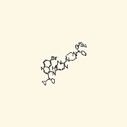 CC(C)(C)OC(=O)N1CCN(c2ncc(Nc3c(C(=O)C4CC4)cnc4ccc(Br)cc34)cn2)CC1